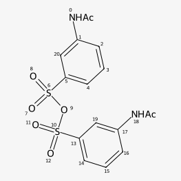 CC(=O)Nc1cccc(S(=O)(=O)OS(=O)(=O)c2cccc(NC(C)=O)c2)c1